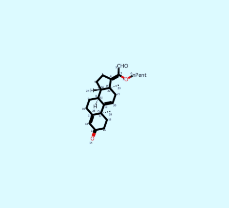 CCCCCOC(C=O)=C1CC[C@H]2[C@@H]3CCC4=CC(=O)CC[C@]4(C)C3=CC[C@]12C